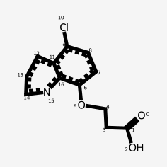 O=C(O)CCOc1ccc(Cl)c2cccnc12